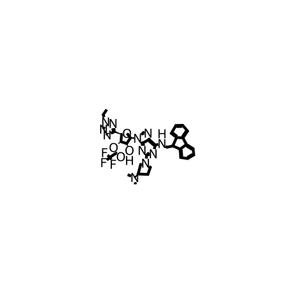 CCn1nnc([C@H]2O[C@@H](n3cnc4c(NCC5c6ccccc6-c6ccccc65)nc(N5CC[C@@H](N(C)C)C5)nc43)[C@H](O)[C@@H]2OC(=O)C(F)(F)F)n1